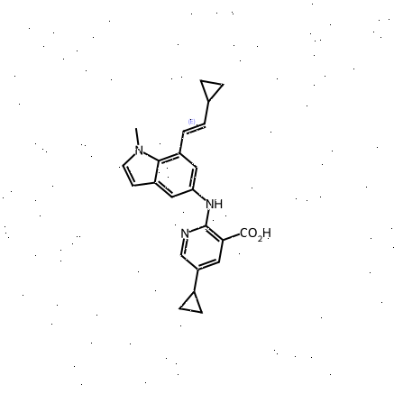 Cn1ccc2cc(Nc3ncc(C4CC4)cc3C(=O)O)cc(/C=C/C3CC3)c21